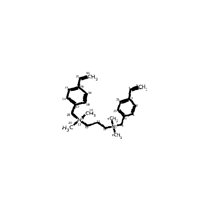 C=Cc1ccc(C[N+](C)(C)CCC[N+](C)(C)Cc2ccc(C=C)cc2)cc1